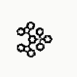 c1ccc([Si](c2ccccc2)(c2ccccc2)c2cc(C3c4ccccc4-c4ccccc43)cc(C3c4ccccc4-c4ccccc43)c2)cc1